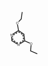 CCOc1[c]c(OCC)ncn1